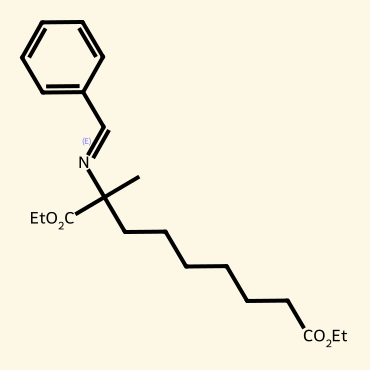 CCOC(=O)CCCCCCC(C)(/N=C/c1ccccc1)C(=O)OCC